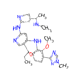 CCC(=O)c1cnc(Nc2cc(C(C)NC)ccn2)cc1Nc1cccc(-c2ncn(C)n2)c1OC